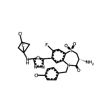 N[C@H]1CS(=O)(=O)c2cc(F)c(-c3nnc(NC45CC(Cl)(C4)C5)o3)cc2N(Cc2ccc(Cl)cc2)C1=O